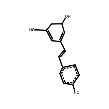 O=Nc1ccc(/C=C/C2=CC(O)CC(O)=C2)cc1